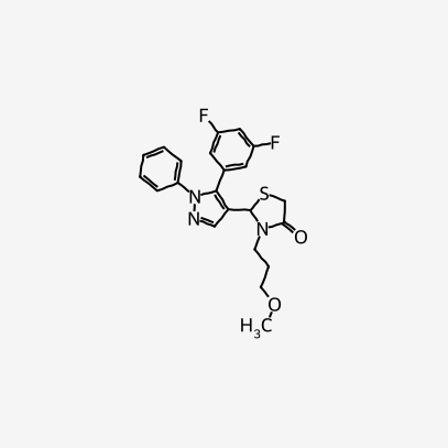 COCCCN1C(=O)CSC1c1cnn(-c2ccccc2)c1-c1cc(F)cc(F)c1